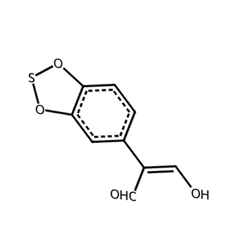 O=C/C(=C\O)c1ccc2c(c1)OSO2